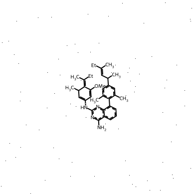 CC/C(C)=C1\C(OC)=CC(Nc2nc(N)c3cccc(-c4c(C)cc(C(C)/C=C(\C)CC)cc4C)c3n2)=CC1C